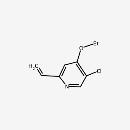 C=Cc1cc(OCC)c(Cl)cn1